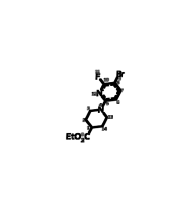 CCOC(=O)C1CCN(c2ccc(Br)c(F)n2)CC1